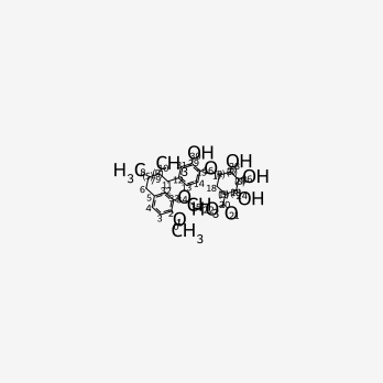 COc1ccc(C[C@H](C)[C@H](C)Cc2ccc(O[C@@H]3C[C@H](C(=O)O)[C@@H](O)[C@H](O)[C@H]3O)c(O)c2)cc1OC